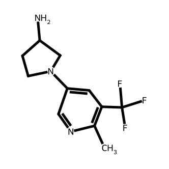 Cc1ncc(N2CCC(N)C2)cc1C(F)(F)F